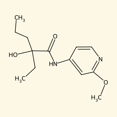 CCCC(O)(CC)C(=O)Nc1ccnc(OC)c1